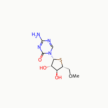 COC[C@H]1S[C@@H](n2cnc(N)nc2=O)[C@@H](O)[C@@H]1O